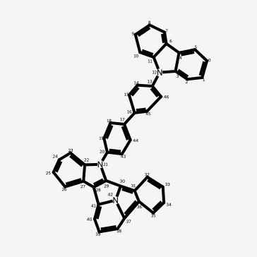 c1ccc2c(c1)c1ccccc1n2-c1ccc(-c2ccc(-n3c4ccccc4c4c3c3c5ccccc5c5cccc4n53)cc2)cc1